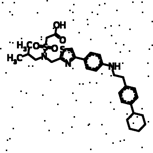 CC(C)CN(Cc1nc(-c2ccc(NCCc3ccc(C4CCCCC4)cc3)cc2)cs1)S(=O)(=O)CC(=O)O